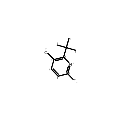 CC(C)(C)c1nc(F)ccc1Cl